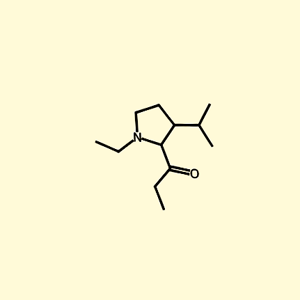 CCC(=O)C1C(C(C)C)CCN1CC